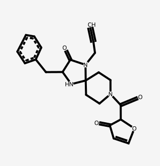 C#CCN1C(=O)C(Cc2ccccc2)NC12CCN(C(=O)C1OC=CC1=O)CC2